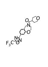 O=C(C1CCOCC1)N1CCOc2cc(-c3noc(C(F)(F)F)n3)ccc2C1